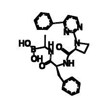 CC(NC(=O)[C@H](Cc1ccccc1)NC(=O)[C@@H]1CCN1c1nccc(-c2ccccc2)n1)B(O)O